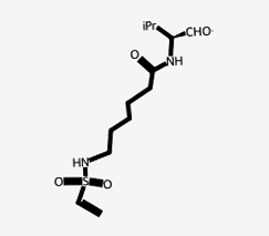 C=CS(=O)(=O)NCCCCCC(=O)N[C@H]([C]=O)C(C)C